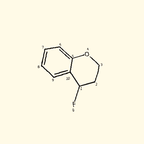 FC1CCOc2ccccc21